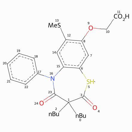 CCCCC1(CCCC)C(=O)[SH]c2cc(OCC(=O)O)c(SC)cc2N(c2ccccc2)C1=O